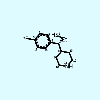 CCS.Fc1ccc(CC2CCNCC2)cc1